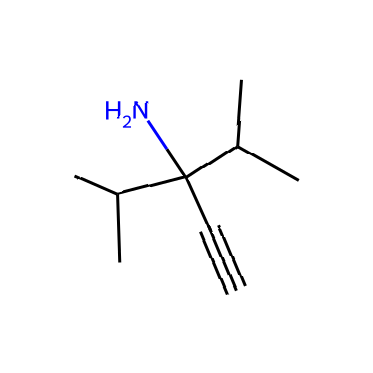 C#CC(N)(C(C)C)C(C)C